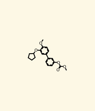 COC(=O)Oc1cccc(-c2ccc(OC)c(OC3CCCC3)c2)c1